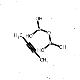 CC#CC.OB(O)OB(O)O